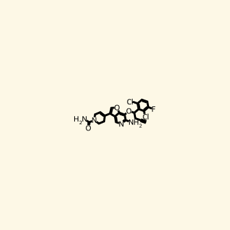 C#CCC(Oc1c(N)ncc2c(C3=CCN(C(N)=O)CC3)coc12)c1c(Cl)ccc(F)c1Cl